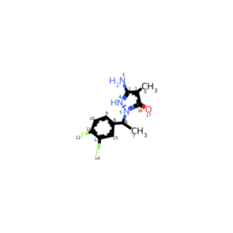 Cc1c(N)[nH]n(C(C)c2ccc(F)c(F)c2)c1=O